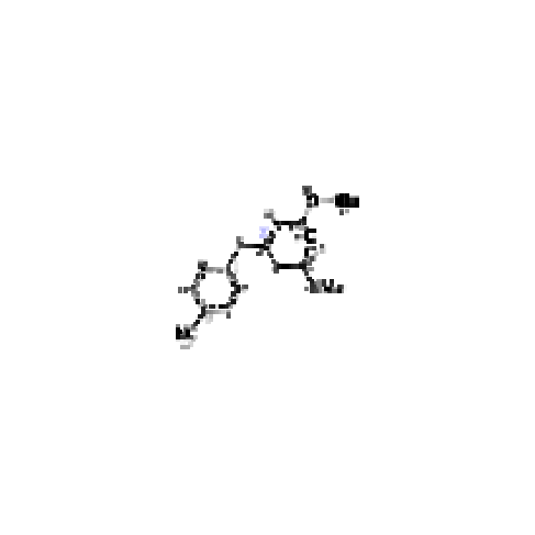 CNC(=O)C/C(Cc1ccc(C#N)cc1)=N\C(=O)OC(C)(C)C